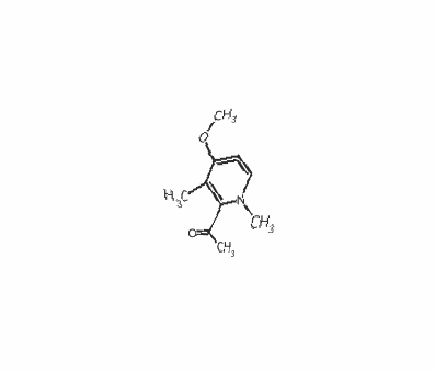 COC1=C=CN(C)C(C(C)=O)=C1C